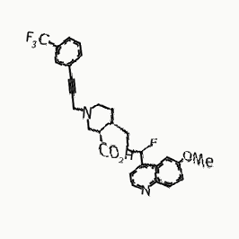 COc1ccc2nccc([C@H](F)CC[C@@H]3CCN(CC#Cc4cccc(C(F)(F)F)c4)C[C@@H]3C(=O)O)c2c1